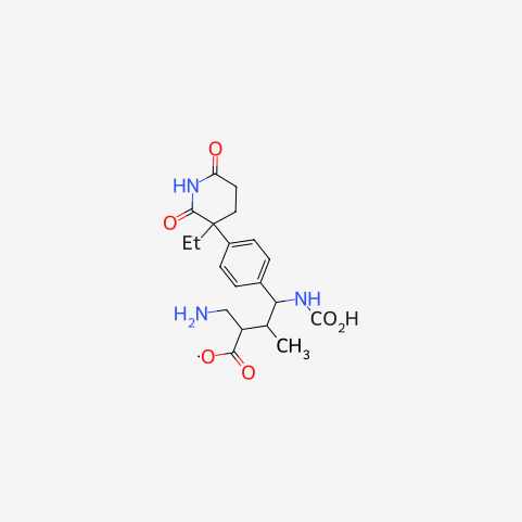 CCC1(c2ccc(C(NC(=O)O)C(C)C(CN)C([O])=O)cc2)CCC(=O)NC1=O